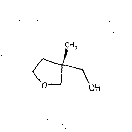 C[C@]1(CO)CCOC1